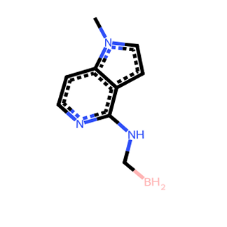 BCNc1nccc2c1ccn2C